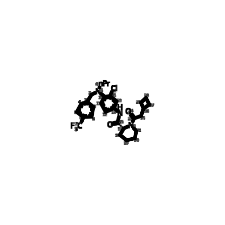 CCCN(Cc1ccc(C(F)(F)F)cc1)c1ccc(NC(=O)[C@H]2CCCCN2C(=O)CC2CCC2)cc1Cl